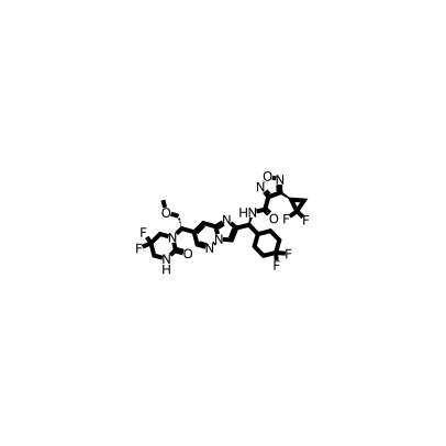 COC[C@H](c1cnn2cc([C@@H](NC(=O)c3nonc3[C@H]3CC3(F)F)C3CCC(F)(F)CC3)nc2c1)N1CC(F)(F)CNC1=O